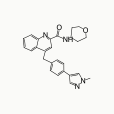 Cn1cc(-c2ccc(Cc3cc(C(=O)NC4CCOCC4)nc4ccccc34)cc2)cn1